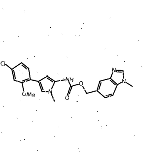 COc1cc(Cl)ccc1-c1cc(NC(=O)OCc2ccc3c(c2)ncn3C)n(C)c1